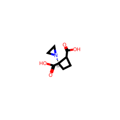 O=C(O)C1CC[C@]1(C(=O)O)N1CC1